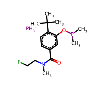 CN(CCF)C(=O)c1ccc(C(C)(C)C)c(OP(C)C)c1.P